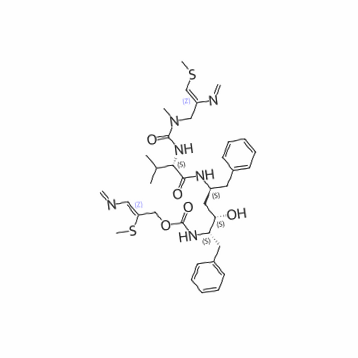 C=N/C=C(/COC(=O)N[C@@H](Cc1ccccc1)[C@@H](O)C[C@H](Cc1ccccc1)NC(=O)[C@@H](NC(=O)N(C)C/C(=C/SC)N=C)C(C)C)SC